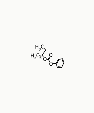 C[CH][C@@H](C)OC(=O)Oc1ccccc1